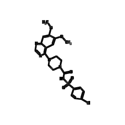 COc1cc2ncnc(N3CCN(C(=O)NS(=O)(=O)c4ccc(Cl)cc4)CC3)c2cc1OC